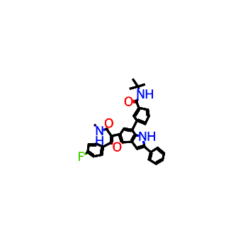 CNC(=O)c1c(-c2ccc(F)cc2)oc2c1cc(-c1cccc(C(=O)NC(C)(C)C)c1)c1[nH]c(-c3ccccc3)cc12